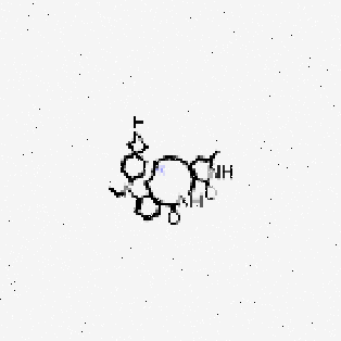 CCN(c1cccc2c1C/C=C/CCc1cc(C)[nH]c(=O)c1CNC2=O)C1CCC2(CC1)CNC2